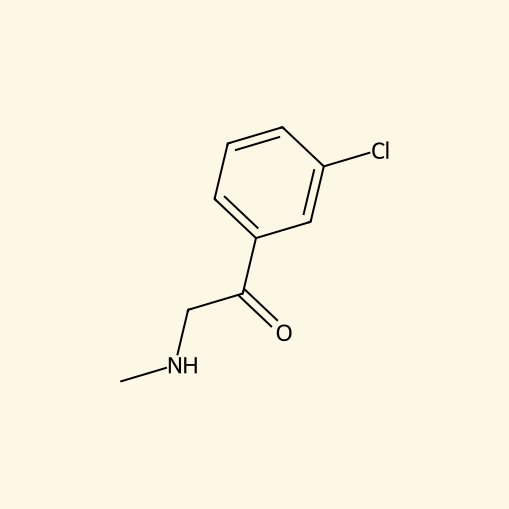 CNCC(=O)c1cccc(Cl)c1